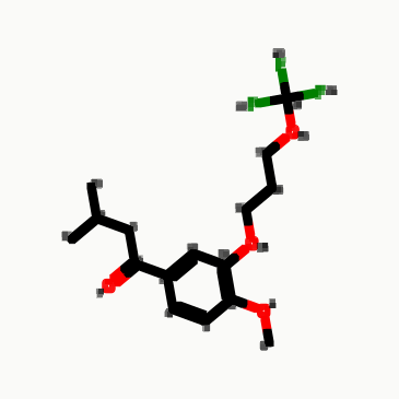 COc1ccc(C(=O)CC(C)C)cc1OCCCOC(F)(F)F